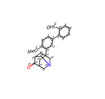 COc1ccc(-c2ccccc2C=O)cc1C12CC3CN(CC(C1)C3=O)C2